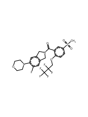 CS(=O)(=O)c1ccc(OCC(F)(F)C(F)(F)F)c(C(=O)N2Cc3cc(F)c(N4CCOCC4)cc3C2)c1